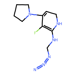 [N-]=[N+]=NCNC1=C(F)C(N2CCCC2)=CCN1